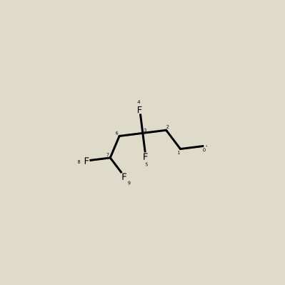 [CH2]CCC(F)(F)CC(F)F